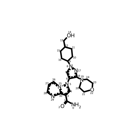 NC(=O)c1cn(-c2cn(C3CCC(CO)CC3)nc2N2CCOCC2)[n+]2cccnc12